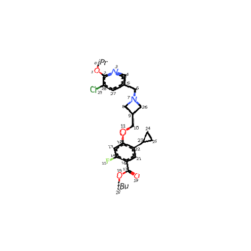 CC(C)Oc1ncc(CN2CC(COc3cc(F)c(C(=O)OC(C)(C)C)cc3C3CC3)C2)cc1Cl